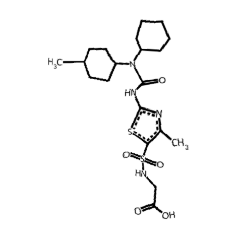 Cc1nc(NC(=O)N(C2CCCCC2)C2CCC(C)CC2)sc1S(=O)(=O)NCC(=O)O